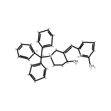 Cc1cccc(C=C2CN(C(c3ccccc3)(c3ccccc3)c3ccccc3)CCC2O)n1